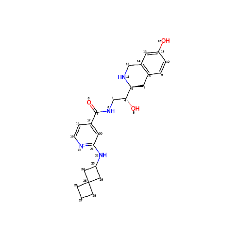 O=C(NC[C@@H](O)[C@@H]1Cc2ccc(O)cc2CN1)c1ccnc(NC2CC3(CCC3)C2)c1